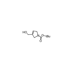 CC(C)(C)OC(=O)N1CC=C(CO)C1